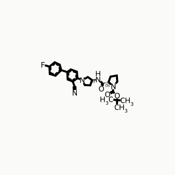 CC(C)(C)OC(=O)N1CCC[C@H]1C(=O)N[C@H]1CCN(c2ccc(-c3ccc(F)cc3)cc2C#N)C1